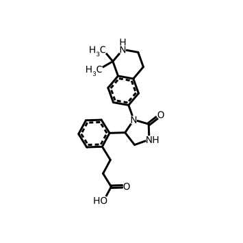 CC1(C)NCCc2cc(N3C(=O)NCC3c3ccccc3CCC(=O)O)ccc21